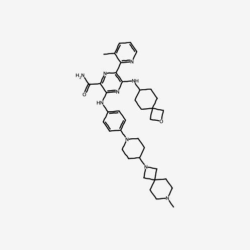 Cc1cccnc1-c1nc(C(N)=O)c(Nc2ccc(N3CCC(N4CC5(CCN(C)CC5)C4)CC3)cc2)nc1NC1CCC2(CC1)COC2